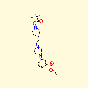 CCOC(=O)c1cccc(N2CCN(CCC3CCN(OC(=O)C(C)(C)C)CC3)CC2)c1